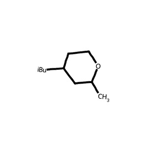 CCC(C)C1CCOC(C)C1